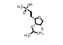 CC(C)O[C@H]1[C@@H](F)CO[C@@H]1/C=C/P(C)(=O)O